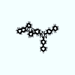 c1ccc(-c2ccc(-c3nc(-c4ccc(-c5ccccc5)cc4)nc(-c4ccc5oc6c(-n7c8ccccc8c8cc9ccccc9cc87)cccc6c5c4)n3)cc2)cc1